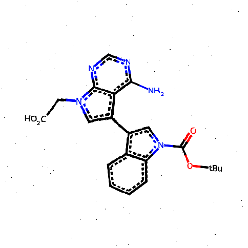 CC(C)(C)OC(=O)n1cc(-c2cn(CC(=O)O)c3ncnc(N)c23)c2ccccc21